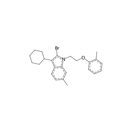 Cc1ccc2c(C3CCCCC3)c(Br)n(CCOc3ccccc3C)c2c1